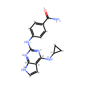 NC(=O)c1ccc(Nc2nc(NC3CC3)c3cc[nH]c3n2)cc1